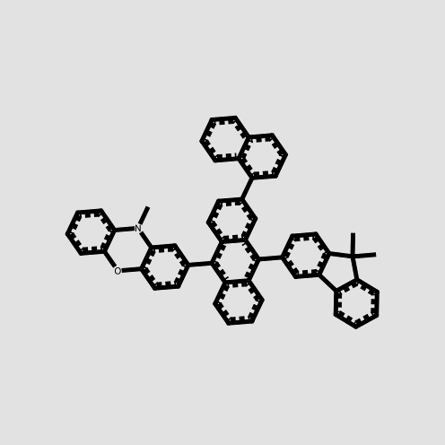 CN1c2ccccc2Oc2ccc(-c3c4ccccc4c(-c4ccc5c(c4)-c4ccccc4C5(C)C)c4cc(-c5cccc6ccccc56)ccc34)cc21